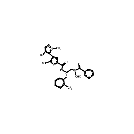 CCCc1sc(C(=O)N[C@@H](Cc2ccccc2C(F)(F)F)CN(C=O)C(=O)c2ccccc2)cc1-c1c(Br)cnn1C